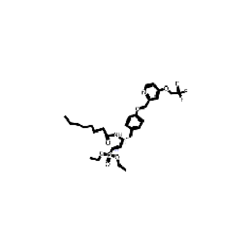 CCCCCCCC(=O)N[C@@H](/C=C/P(=O)(OCC)OCC)Cc1ccc(OCc2cc(OCC(F)(F)F)ccn2)cc1